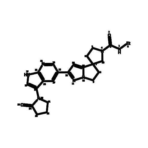 CCNC(=O)N1CCC2(CCn3nc(-c4cnc5[nH]cc(N6CCCC6=O)c5c4)cc32)C1